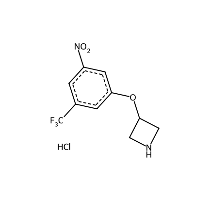 Cl.O=[N+]([O-])c1cc(OC2CNC2)cc(C(F)(F)F)c1